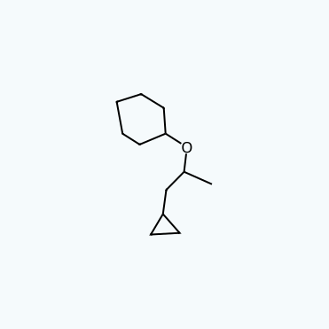 CC(CC1CC1)OC1CCCCC1